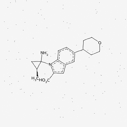 C[C@H]1CC1(N)n1c(C(=O)O)cc2cc(C3CCOCC3)ccc21